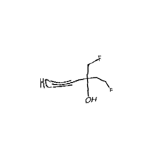 C#CC(O)(CF)CF